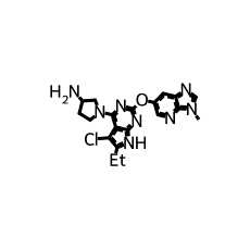 CCc1[nH]c2nc(Oc3cnc4c(c3)ncn4C)nc(N3CCC(N)C3)c2c1Cl